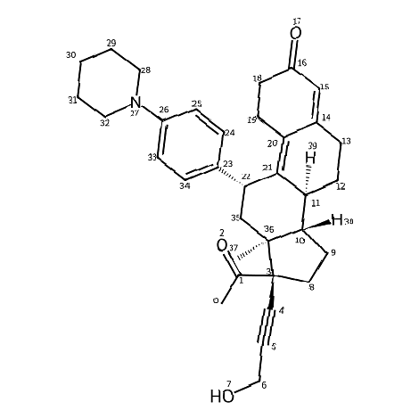 CC(=O)[C@@]1(C#CCO)CC[C@H]2[C@@H]3CCC4=CC(=O)CCC4=C3[C@@H](c3ccc(N4CCCCC4)cc3)C[C@@]21C